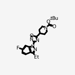 CCc1nn(-c2noc(C3CCN(C(=O)OC(C)(C)C)CC3)n2)c2cc(F)ccc12